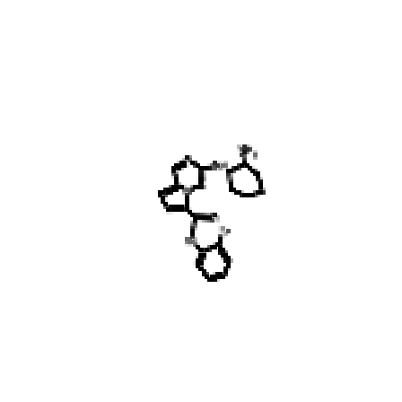 N[C@H]1CCCC[C@H]1Nc1ncc2ccc(C(=O)Nc3ccccc3Br)n2n1